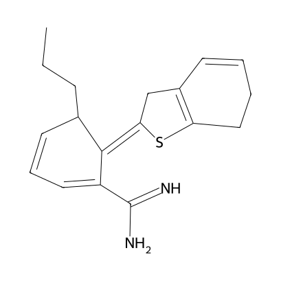 CCCC1C=CC=C(C(=N)N)/C1=C1/CC2=C(CCC=C2)S1